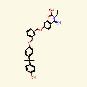 CCN(C(=N)c1ccc(OCc2cccc(COc3ccc(C(C)(C)c4ccc(O)cc4)cc3)c2)cc1)C(=O)O